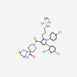 CS(=O)(=O)NCCCc1c(C(=O)N2CCC(C(N)=O)(N3CCC(F)(F)C3)CC2)cc(-c2ccc(Cl)cc2Cl)n1-c1ccc(Cl)cc1